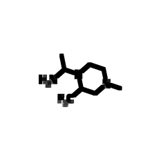 CC(N)N1CCN(C)CC1C(F)(F)F